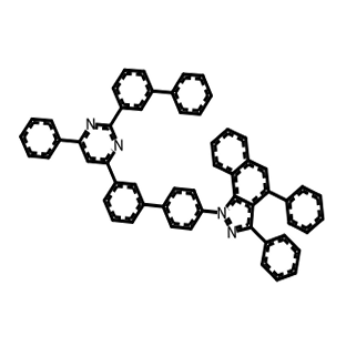 c1ccc(-c2cccc(-c3nc(-c4ccccc4)cc(-c4cccc(-c5ccc(-n6nc(-c7ccccc7)c7c(-c8ccccc8)cc8ccccc8c76)cc5)c4)n3)c2)cc1